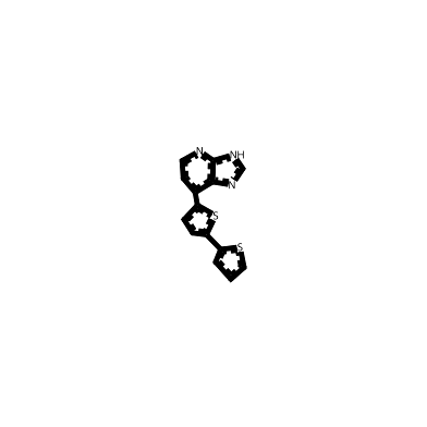 c1csc(-c2ccc(-c3ccnc4[nH]cnc34)s2)c1